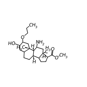 CCCOC1C[C@@]2(C)C(CC[C@@H]3[C@H]2C(N)C[C@]2(C)C(C(=O)OC)CC[C@@H]32)CC1O